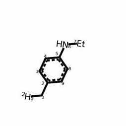 [2H]Cc1ccc(NCC)cc1